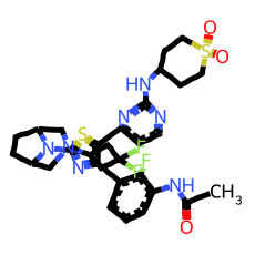 CC(=O)Nc1cccc(-c2nc(N3C4CCC3CN(C3CC(F)(F)C3)C4)sc2-c2ccnc(NC3CCS(=O)(=O)CC3)n2)c1F